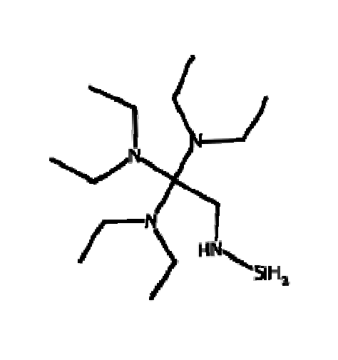 CCN(CC)C(CN[SiH3])(N(CC)CC)N(CC)CC